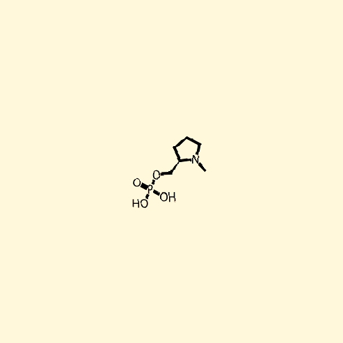 CN1CCC[C@@H]1COP(=O)(O)O